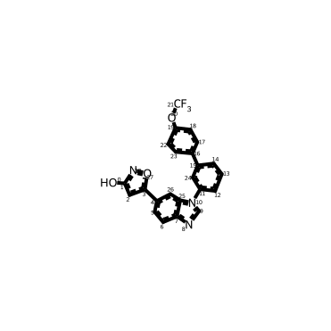 Oc1cc(-c2ccc3ncn(-c4cccc(-c5ccc(OC(F)(F)F)cc5)c4)c3c2)on1